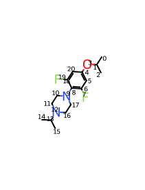 CC(C)Oc1cc(F)c(N2CCN(C(C)C)CC2)c(F)c1